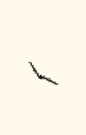 CCCCCCOCCCCn1cc[n+](CCCCOCCCCCC)c1